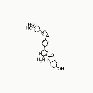 Nc1ncc(-c2ccc(C34CC3CN(C3CCS(O)(O)CC3)C4)cc2)cc1C(=O)NC1CCC(O)CC1